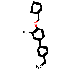 C=Cc1ccc(-c2ccc(OCc3ccccc3)c(C)c2)cc1